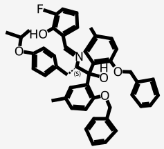 Cc1ccc(OCc2ccccc2)c(C(O)(c2cc(C)ccc2OCc2ccccc2)[C@H](Cc2ccc(OC(C)C)cc2)N=Cc2cccc(F)c2O)c1